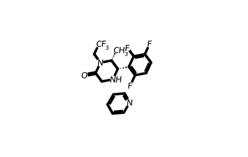 C[C@@H]1[C@H](c2c(F)ccc(F)c2F)NCC(=O)N1CC(F)(F)F.c1ccncc1